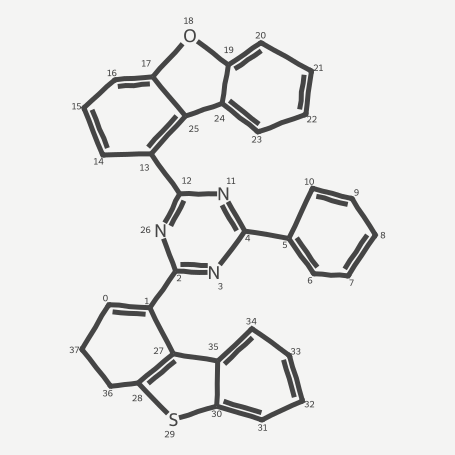 C1=C(c2nc(-c3ccccc3)nc(-c3cccc4oc5ccccc5c34)n2)c2c(sc3ccccc23)CC1